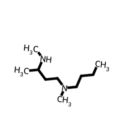 CCCCN(C)CCC(C)NC